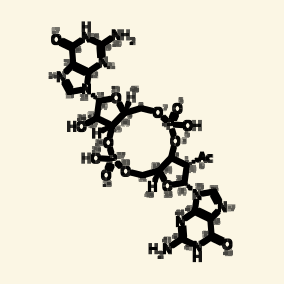 CC(=O)[C@H]1C2OP(=O)(O)OC[C@H]3O[C@@H](n4cnc5c(=O)[nH]c(N)nc54)C(O)[C@H]3OP(=O)(O)OC[C@H]2O[C@H]1n1cnc2c(=O)[nH]c(N)nc21